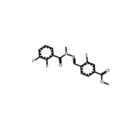 COC(=O)c1ccc(/C=N/N(C)C(=O)c2cccc(F)c2F)c(F)c1